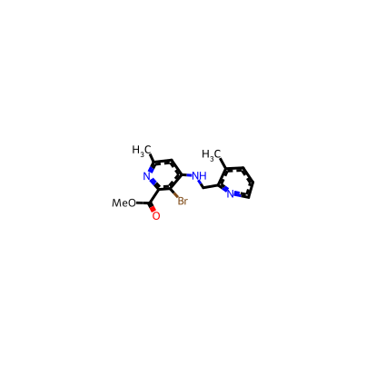 COC(=O)c1nc(C)cc(NCc2ncccc2C)c1Br